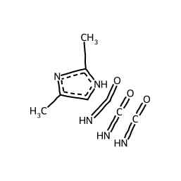 Cc1c[nH]c(C)n1.N=C=O.N=C=O.N=C=O